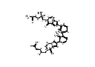 CC(=O)CC[C@H](C)Cn1cnn2cc(-c3cccc(-c4cccc(-c5cc6c(=O)n(CC(C)(S)CCC(N)=O)cnn6c5)c4Cl)c3Cl)cc2c1=O